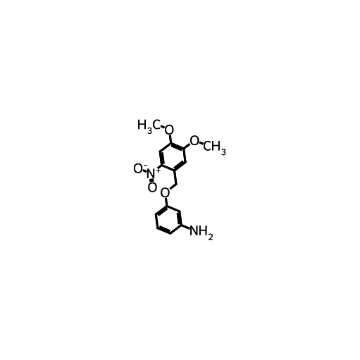 COc1cc(COc2cccc(N)c2)c([N+](=O)[O-])cc1OC